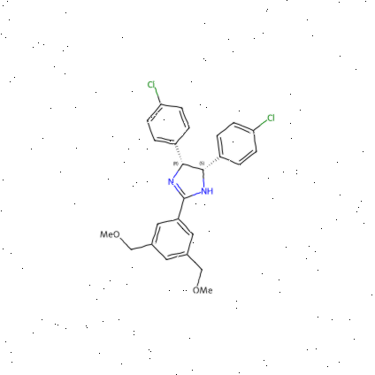 COCc1cc(COC)cc(C2=N[C@H](c3ccc(Cl)cc3)[C@H](c3ccc(Cl)cc3)N2)c1